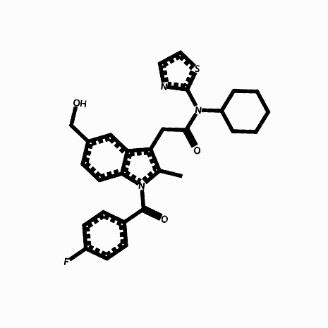 Cc1c(CC(=O)N(c2nccs2)C2CCCCC2)c2cc(CO)ccc2n1C(=O)c1ccc(F)cc1